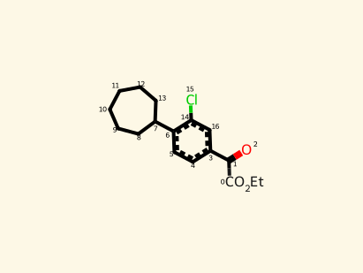 CCOC(=O)C(=O)c1ccc(C2CCCCCC2)c(Cl)c1